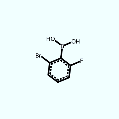 OB(O)c1c(F)cccc1Br